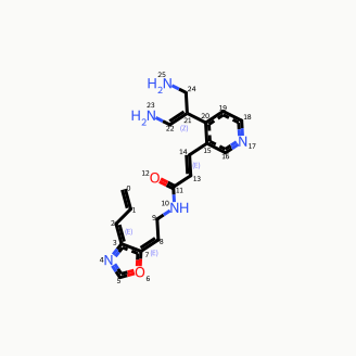 C=C/C=c1/nco/c1=C/CNC(=O)/C=C/c1cnccc1/C(=C/N)CN